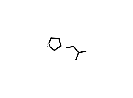 C1CCOC1.CCC(C)C